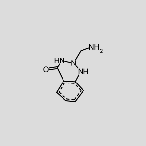 NCN1NC(=O)c2ccccc2N1